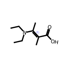 CCN(CC)/C(C)=C(\C)C(=O)O